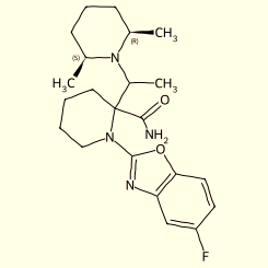 CC(N1[C@H](C)CCC[C@@H]1C)C1(C(N)=O)CCCCN1c1nc2cc(F)ccc2o1